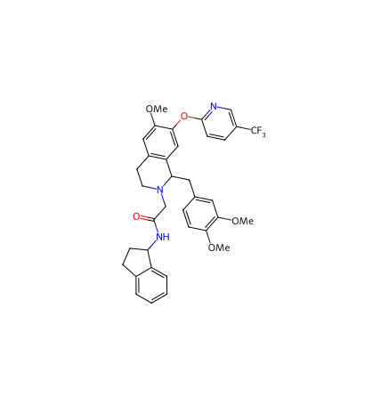 COc1ccc(CC2c3cc(Oc4ccc(C(F)(F)F)cn4)c(OC)cc3CCN2CC(=O)NC2CCc3ccccc32)cc1OC